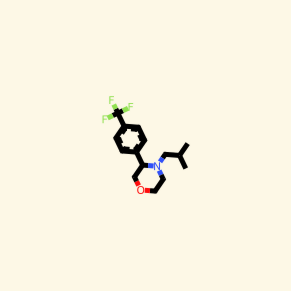 CC(C)CN1CCOCC1c1ccc(C(F)(F)F)cc1